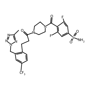 Cc1nnn(Cc2cc(C(F)(F)F)ccc2CCC(=O)N2CCN(C(=O)c3c(F)cc(S(N)(=O)=O)cc3F)CC2)n1